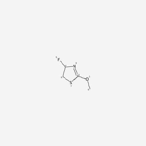 COC1=NC(F)CS1